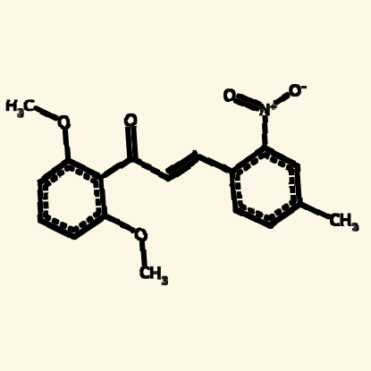 COc1cccc(OC)c1C(=O)/C=C/c1ccc(C)cc1[N+](=O)[O-]